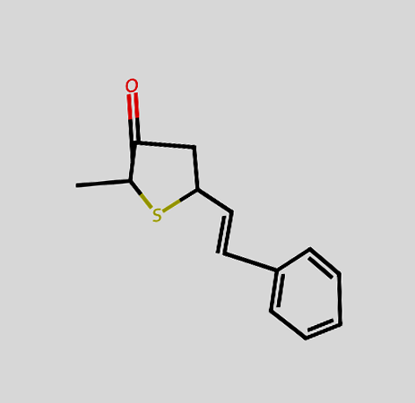 CC1SC(C=Cc2ccccc2)CC1=O